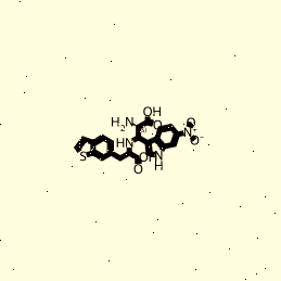 N[C@H](C(=O)O)C(NC(Cc1ccc2ccsc2c1)C(=O)O)c1c[nH]c2cc([N+](=O)[O-])ccc12